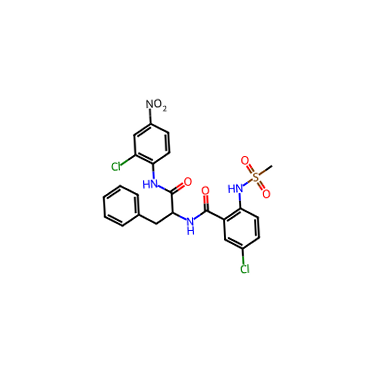 CS(=O)(=O)Nc1ccc(Cl)cc1C(=O)NC(Cc1ccccc1)C(=O)Nc1ccc([N+](=O)[O-])cc1Cl